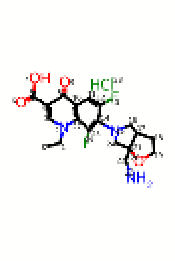 CCn1cc(C(=O)O)c(=O)c2cc(F)c(N3CC4CCOC4(CN)C3)c(F)c21.Cl